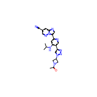 CC(=O)N1CC(n2cc(-c3cnc(-c4cnc5cc(C#N)cnn45)cc3NC(C)C)nn2)C1